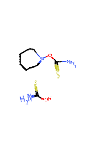 NC(=S)ON1CCCCC1.NC(O)=S